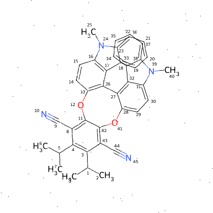 CC(C)c1c(C(C)C)c(C#N)c2oc3ccc4c(c5ccccc5n4C)c3c3c(ccc4c3c3ccccc3n4C)oc2c1C#N